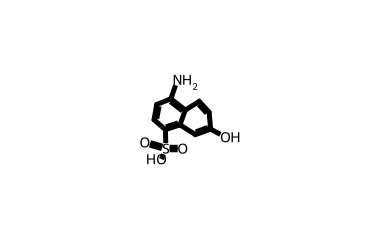 Nc1ccc(S(=O)(=O)O)c2cc(O)ccc12